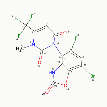 Cn1c(C(F)(F)F)cc(=O)n(-c2c(F)cc(Br)c3oc(=O)[nH]c23)c1=O